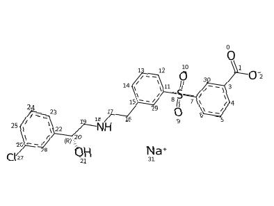 O=C([O-])c1cccc(S(=O)(=O)c2cccc(CCNC[C@H](O)c3cccc(Cl)c3)c2)c1.[Na+]